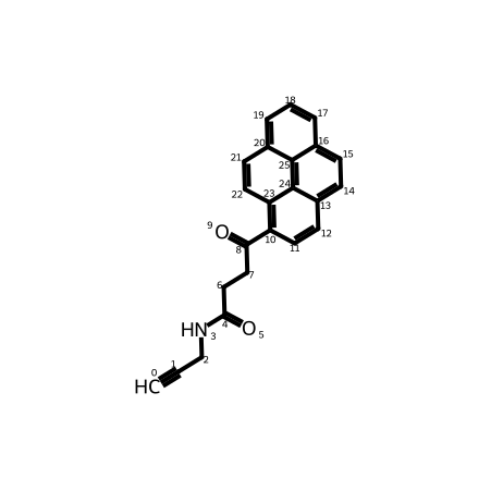 C#CCNC(=O)CCC(=O)c1ccc2ccc3cccc4ccc1c2c34